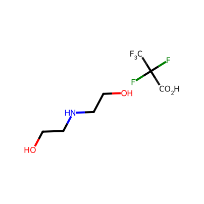 O=C(O)C(F)(F)C(F)(F)F.OCCNCCO